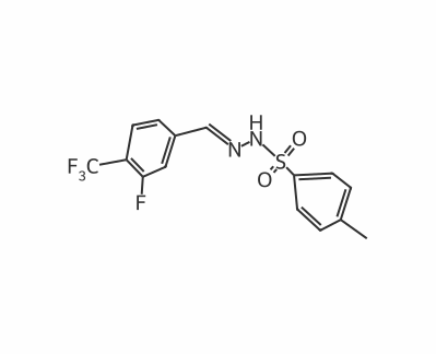 Cc1ccc(S(=O)(=O)NN=Cc2ccc(C(F)(F)F)c(F)c2)cc1